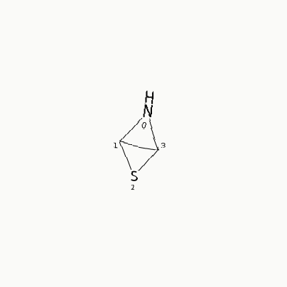 N1C2SC12